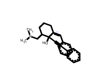 CN(C)CC1CCC/C(=C/c2ccccc2)C1(O)C#Cc1ccccc1